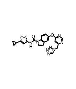 O=C(Nc1cc(C2CC2)on1)n1ccc2cc(Oc3cc(Cn4cnnn4)ncn3)ccc21